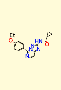 CCOc1ccc(-c2nccc3nc(NC(=O)C4CC4)nn23)cc1